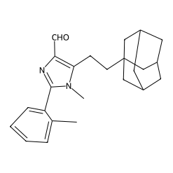 Cc1ccccc1-c1nc(C=O)c(CCC23CC4CC(CC(C4)C2)C3)n1C